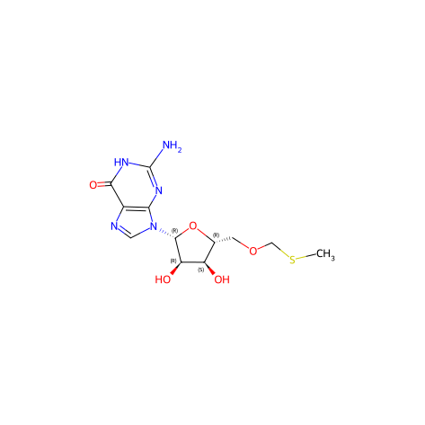 CSCOC[C@H]1O[C@@H](n2cnc3c(=O)[nH]c(N)nc32)[C@H](O)[C@@H]1O